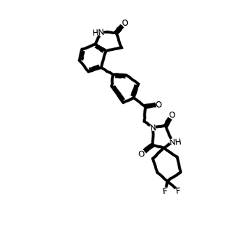 O=C1Cc2c(cccc2-c2ccc(C(=O)CN3C(=O)NC4(CCC(F)(F)CC4)C3=O)cc2)N1